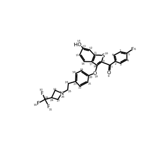 O=C(c1ccc(F)cc1)c1sc2cc(O)ccc2c1Oc1ccc(CCN2CC(C(F)(F)F)C2)cc1